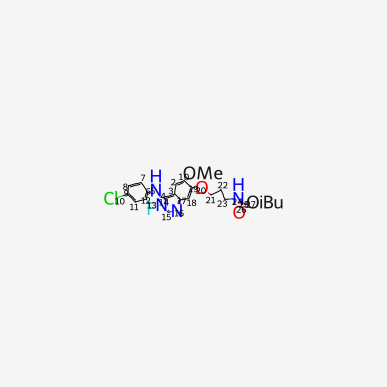 COc1cc2c(Nc3ccc(Cl)cc3F)ncnc2cc1OCCCNC(=O)OCC(C)C